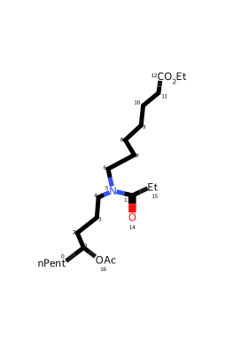 CCCCCC(CCCN(CCCCCCC(=O)OCC)C(=O)CC)OC(C)=O